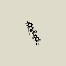 O=C(NCc1ccc(Cl)cc1)NC1CC2(CCNC2)C1